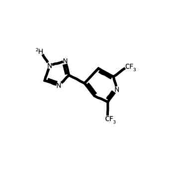 [2H]n1cnc(-c2cc(C(F)(F)F)nc(C(F)(F)F)c2)n1